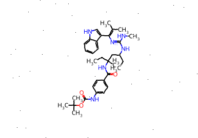 CCC(CC(C)(CC)NC(=O)c1ccc(NC(=O)OC(C)(C)C)cc1)N/C(=N/C(=C(C)C)c1c[nH]c2ccccc12)NC